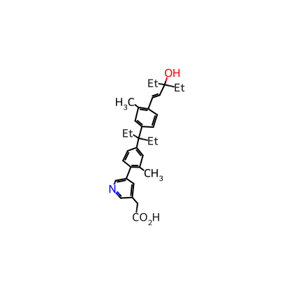 CCC(O)(/C=C/c1ccc(C(CC)(CC)c2ccc(-c3cncc(CC(=O)O)c3)c(C)c2)cc1C)CC